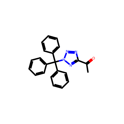 CC(=O)c1nnn(C(c2ccccc2)(c2ccccc2)c2ccccc2)n1